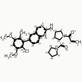 C=CC(=O)N1C[C@@H](Nc2ncc3cc(-c4c(C)c(OC)cc(OC)c4Cl)ccc3n2)C[C@H]1C(=O)N1CCCC1